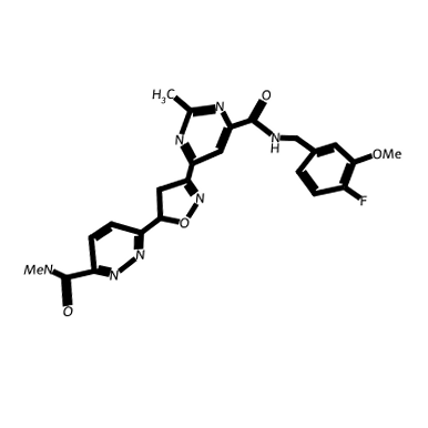 CNC(=O)c1ccc(C2CC(c3cc(C(=O)NCc4ccc(F)c(OC)c4)nc(C)n3)=NO2)nn1